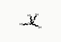 SCCCCC(CCCCS)(COCCCS)COCCCS